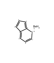 [BeH2].[c]1ccc2cccsc1-2